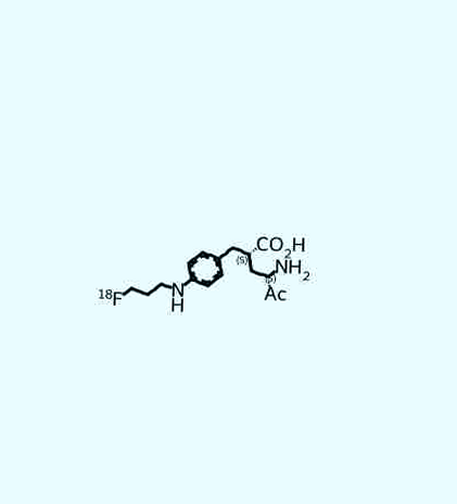 CC(=O)[C@@H](N)C[C@H](Cc1ccc(NCCC[18F])cc1)C(=O)O